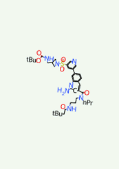 CCCN(CCCNC(=O)CC(C)(C)C)C(=O)C1=Cc2ccc(-c3cncc(S(=O)(=O)N4CC(CNC(=O)OC(C)(C)C)C4)c3)cc2N=C(N)C1